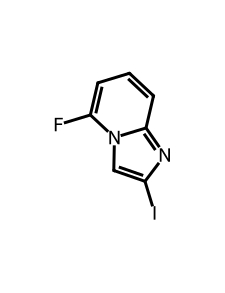 Fc1cccc2nc(I)cn12